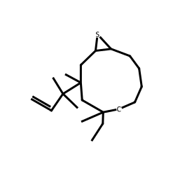 C=CC(C)(C)C1(C)CC2SC2CCCCCC(C)(CC)C1